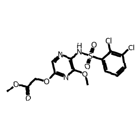 COC(=O)COc1cnc(NS(=O)(=O)c2cccc(Cl)c2Cl)c(OC)n1